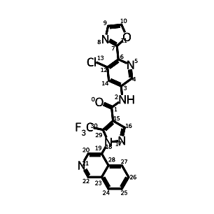 O=C(Nc1cnc(-c2ncco2)c(Cl)c1)c1cnn(-c2cncc3ccccc23)c1C(F)(F)F